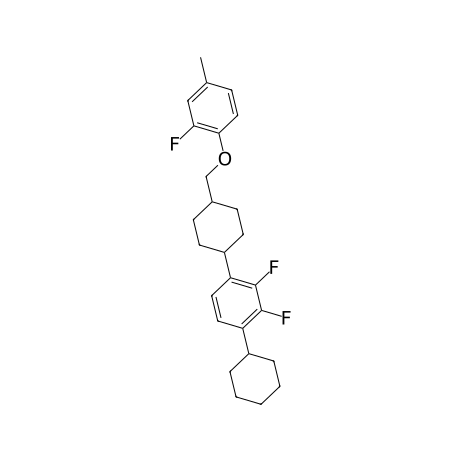 Cc1ccc(OCC2CCC(c3ccc(C4CCCCC4)c(F)c3F)CC2)c(F)c1